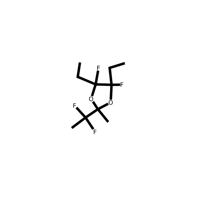 CCC1(F)OC(C)(C(C)(F)F)OC1(F)CC